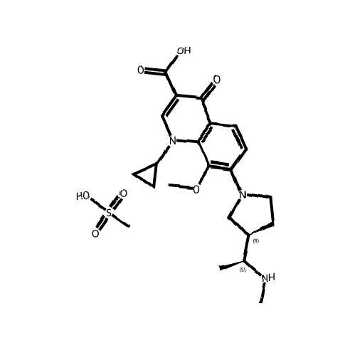 CN[C@@H](C)[C@@H]1CCN(c2ccc3c(=O)c(C(=O)O)cn(C4CC4)c3c2OC)C1.CS(=O)(=O)O